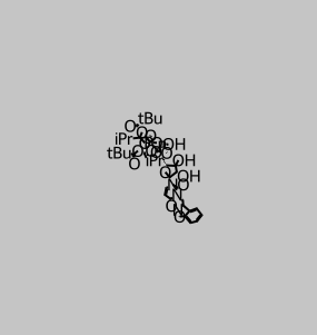 CC(C)C(OC(=O)C(C)(C)C)OP(=O)(OC(OC(=O)C(C)(C)C)C(C)C)OP(=O)(O)OC[C@H]1O[C@@H](n2ccc(=O)n(Cc3noc4ccccc34)c2=O)C(O)C1O